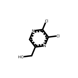 OCc1cnc(Cl)c(Cl)n1